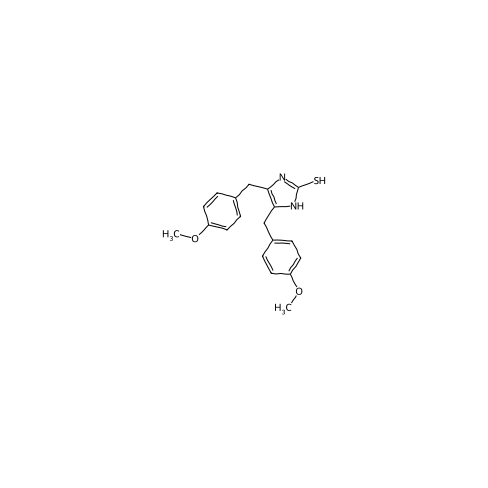 COc1ccc(Cc2nc(S)[nH]c2Cc2ccc(OC)cc2)cc1